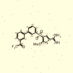 CSc1sc(C(=N)N)cc1S(=O)(=O)c1cccc(-c2cccc(C(=O)C(F)(F)F)c2)c1